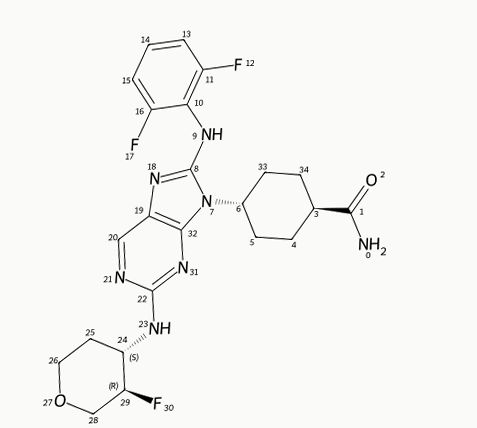 NC(=O)[C@H]1CC[C@H](n2c(Nc3c(F)cccc3F)nc3cnc(N[C@H]4CCOC[C@@H]4F)nc32)CC1